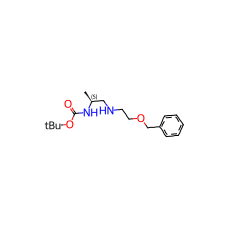 C[C@@H](CNCCOCc1ccccc1)NC(=O)OC(C)(C)C